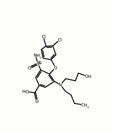 CCCCN(CCCO)c1cc(C(=O)O)cc(S(N)(=O)=O)c1Oc1ccc(Cl)c(Cl)c1